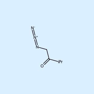 CC(C)C(=O)CN=[N+]=[N-]